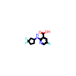 O=C(O)c1cc(F)cnc1NC1CCC(F)(F)C1